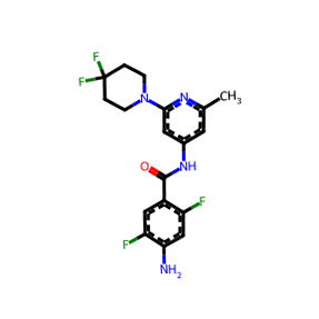 Cc1cc(NC(=O)c2cc(F)c(N)cc2F)cc(N2CCC(F)(F)CC2)n1